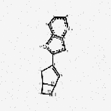 C1=C(c2cc3ncccc3o2)CC2CNC12